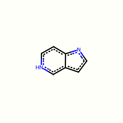 [c]1[nH]ccc2nccc1-2